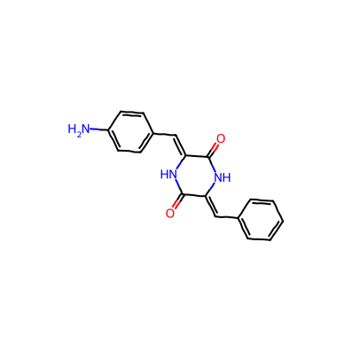 Nc1ccc(/C=c2\[nH]c(=O)/c(=C/c3ccccc3)[nH]c2=O)cc1